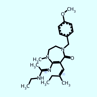 CCN/C(C)=N/C1=C(/C=C(/C)CC)C(=O)N(Cc2ccc(OC)cc2)CCN1C